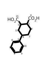 O=C(O)C1CCC(c2ccccc2)CC1C(=O)O